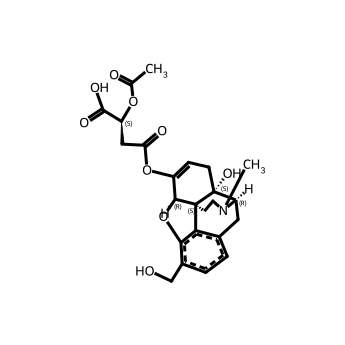 CC(=O)O[C@@H](CC(=O)OC1=CC[C@@]2(O)[C@H]3Cc4ccc(CO)c5c4[C@@]2(CCN3C)[C@H]1O5)C(=O)O